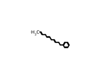 [CH2]C=CCC=CCC=CCCc1ccccc1